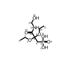 CCOC(CP(=O)(O)O)(OCC)C(=O)NCO